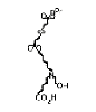 CCCOC(=O)CCSSCCC(=O)OCCCCCCN(CCO)CCCCCC(=O)O